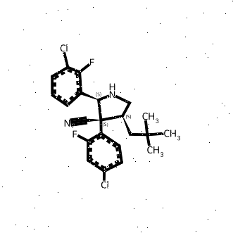 CC(C)(C)C[C@@H]1CN[C@H](c2cccc(Cl)c2F)[C@@]1(C#N)c1ccc(Cl)cc1F